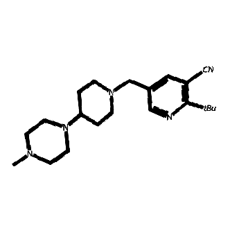 CN1CCN(C2CCN(Cc3cnc(C(C)(C)C)c(C#N)c3)CC2)CC1